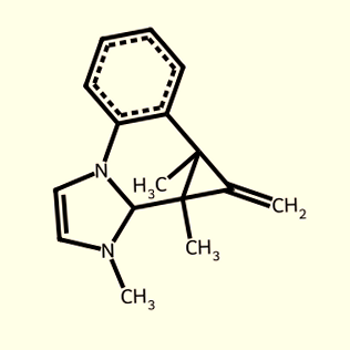 C=C1C2(C)c3ccccc3N3C=CN(C)C3C12C